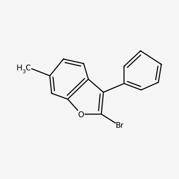 Cc1ccc2c(-c3ccccc3)c(Br)oc2c1